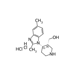 Cc1ccc2c(c1)nc(C)n2[C@H]1CCNC[C@H]1CO.Cl.Cl